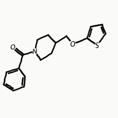 O=C(c1ccccc1)N1CCC(COc2cccs2)CC1